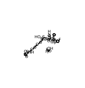 CC(C)(C)C(c1cc(-c2cc(F)ccc2F)cn1Cc1ccccc1)N(CC1CCNC1)C(=O)CSCC(NC(=O)CCOCCOCCOCCOCCNC(=O)CN1C(=O)C=CC1=O)C(=O)O.O=C(O)C(F)(F)F